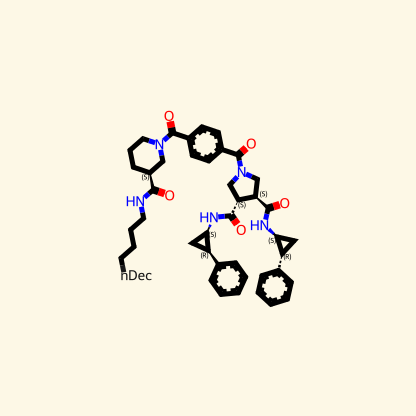 CCCCCCCCCCCCCCNC(=O)[C@H]1CCCN(C(=O)c2ccc(C(=O)N3C[C@@H](C(=O)N[C@H]4C[C@@H]4c4ccccc4)[C@H](C(=O)N[C@H]4C[C@@H]4c4ccccc4)C3)cc2)C1